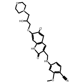 COc1cc(NCc2cc3cc(Cl)c(OCC(O)CN4CCOCC4)cc3[nH]c2=O)ccc1C#N